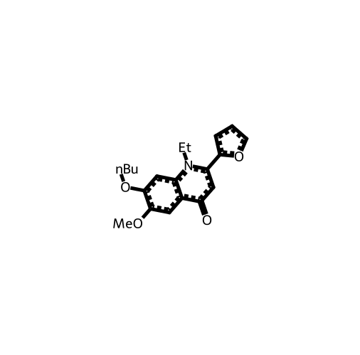 CCCCOc1cc2c(cc1OC)c(=O)cc(-c1ccco1)n2CC